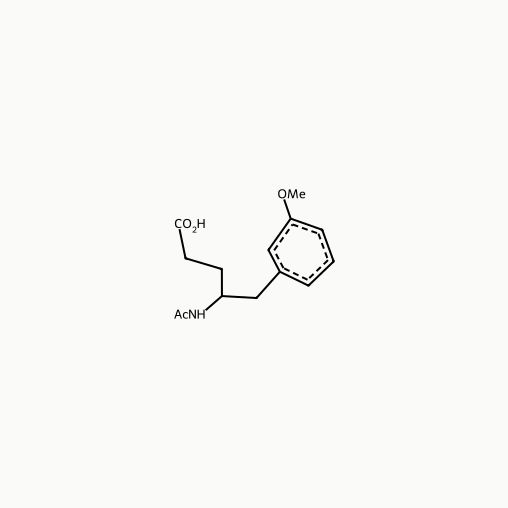 COc1cccc(CC(CCC(=O)O)NC(C)=O)c1